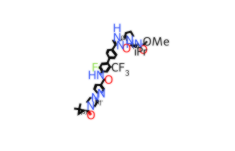 COC(=O)N[C@H](C(=O)N1CCC[C@H]1c1nc(-c2ccc(-c3cc(F)c(NC(=O)c4ccc(N5CCN(C(=O)[C@H]6CC6(C)C)C[C@H]5C)nc4)cc3C(F)(F)F)cc2)c[nH]1)C(C)C